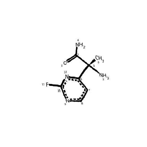 C[C@](N)(C(N)=O)c1ccnc(F)n1